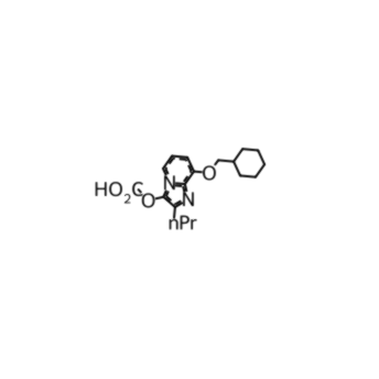 CCCc1nc2c(OCC3CCCCC3)cccn2c1OC(=O)O